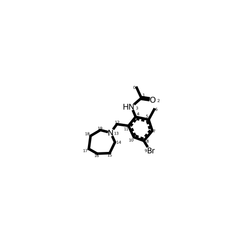 CC(=O)Nc1c(C)cc(Br)cc1CN1CCCCCC1